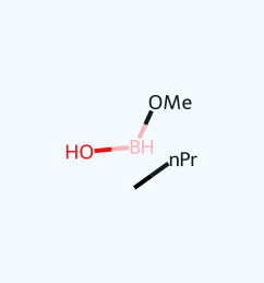 CCCC.COBO